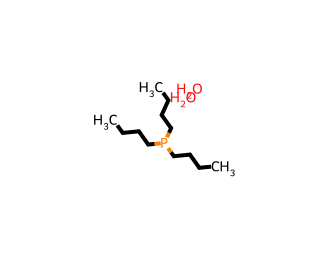 CCCCP(CCCC)CCCC.O.O